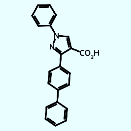 O=C(O)c1cn(-c2ccccc2)nc1-c1ccc(-c2ccccc2)cc1